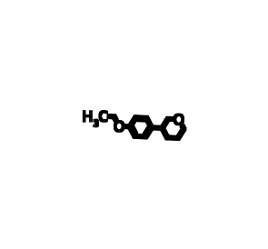 CCOc1ccc(C2CCCOC2)cc1